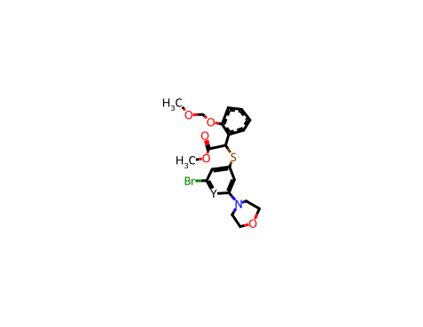 COCOc1ccccc1C(SC1=C[C](Br)=[Y][C](N2CCOCC2)=C1)C(=O)OC